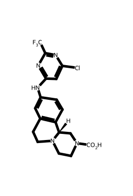 O=C(O)N1CCN2CCc3cc(Nc4cc(Cl)nc(C(F)(F)F)n4)ccc3[C@@H]2C1